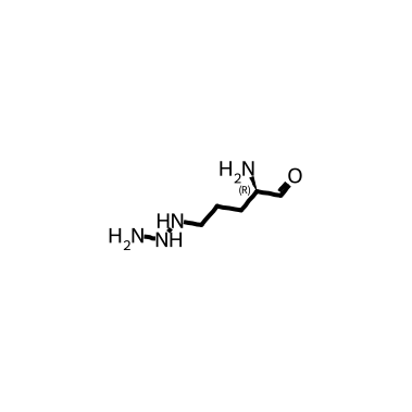 NNNCCC[C@@H](N)C=O